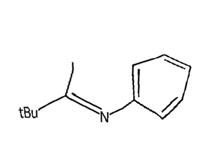 CC(=Nc1ccccc1)C(C)(C)C